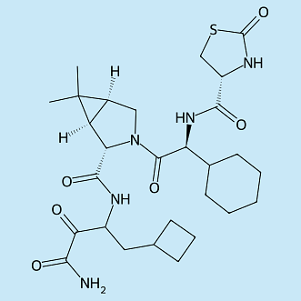 CC1(C)[C@@H]2[C@@H](C(=O)NC(CC3CCC3)C(=O)C(N)=O)N(C(=O)[C@@H](NC(=O)[C@@H]3CSC(=O)N3)C3CCCCC3)C[C@@H]21